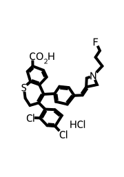 Cl.O=C(O)c1ccc2c(c1)SCCC(c1ccc(Cl)cc1Cl)=C2c1ccc(C=C2CN(CCCF)C2)cc1